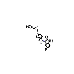 CN(CCO)CCc1ccc2c(n1)CO/C2=C1/C(=O)Nc2ccc(F)cc21